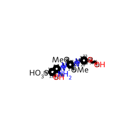 COc1cc(/N=N/c2ccc3cc(S(=O)(=O)O)cc(O)c3c2N)c(OC)cc1/N=N/c1ccc(OCCO)cc1